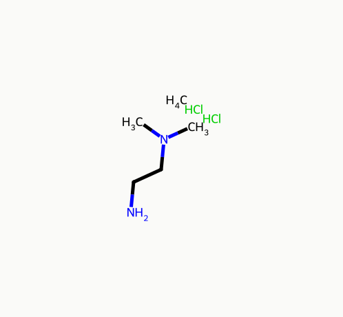 C.CN(C)CCN.Cl.Cl